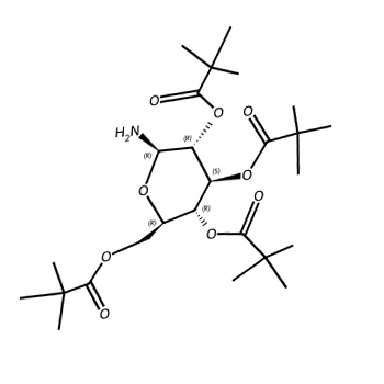 CC(C)(C)C(=O)OC[C@H]1O[C@@H](N)[C@H](OC(=O)C(C)(C)C)[C@@H](OC(=O)C(C)(C)C)[C@@H]1OC(=O)C(C)(C)C